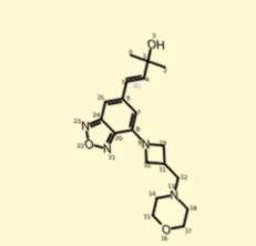 CC(C)(O)/C=C/c1cc(N2CC(CN3CCOCC3)C2)c2nonc2c1